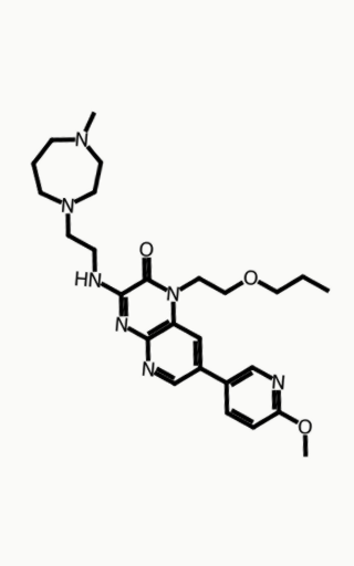 CCCOCCn1c(=O)c(NCCN2CCCN(C)CC2)nc2ncc(-c3ccc(OC)nc3)cc21